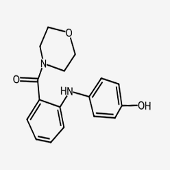 O=C(c1ccccc1Nc1ccc(O)cc1)N1CCOCC1